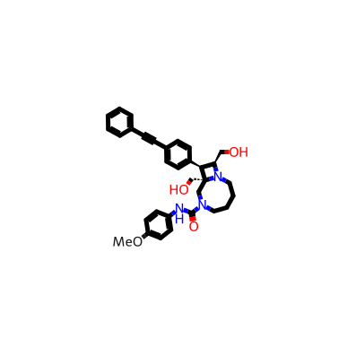 COc1ccc(NC(=O)N2CCCCN3[C@H](CO)[C@H](c4ccc(C#Cc5ccccc5)cc4)[C@]3(CO)C2)cc1